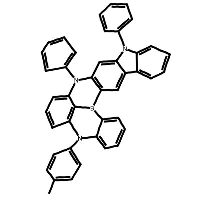 Cc1ccc(N2c3ccccc3B3c4cc5c6ccccc6n(-c6ccccc6)c5cc4N(c4ccccc4)c4cccc2c43)cc1